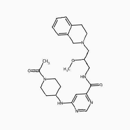 COC(CNC(=O)c1cc(NC2CCN(C(C)=O)CC2)ncn1)CN1CCc2ccccc2C1